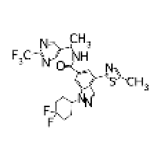 Cc1cnc(-c2cc(C(=O)NC(C)c3cnc(C(F)(F)F)nc3)cc3c2cnn3C2CCC(F)(F)CC2)s1